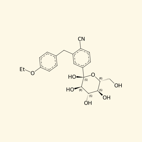 CCOc1ccc(Cc2cc([C@]3(O)O[C@H](CO)[C@@H](O)[C@H](O)[C@H]3O)ccc2C#N)cc1